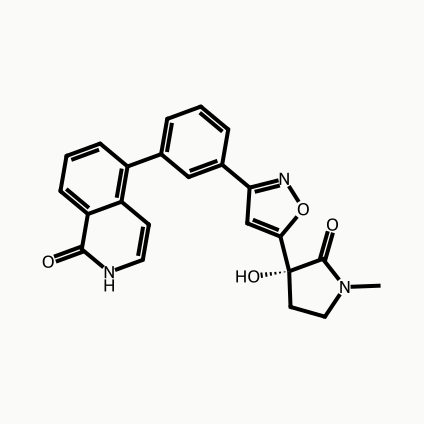 CN1CC[C@@](O)(c2cc(-c3cccc(-c4cccc5c(=O)[nH]ccc45)c3)no2)C1=O